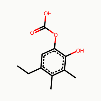 CCc1cc(OC(=O)O)c(O)c(C)c1C